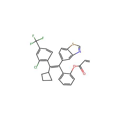 C=CC(=O)Oc1ccccc1/C(=C(/c1ccc(C(F)(F)F)cc1Cl)C1CCC1)c1ccc2scnc2c1